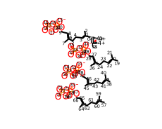 CC(C)=CCCC(C)=CCOP(=O)([O-])OP(=O)([O-])[O-].CC(C)=CCCC(C)=CCOP(=O)([O-])OP(=O)([O-])[O-].CC(C)=CCCC(C)=CCOP(=O)([O-])OP(=O)([O-])[O-].CC(C)=CCCC(C)=CCOP(=O)([O-])OP(=O)([O-])[O-].[C+4].[C+4].[C+4]